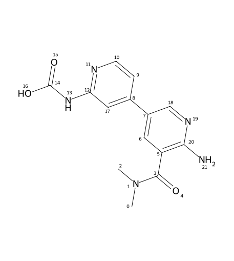 CN(C)C(=O)c1cc(-c2ccnc(NC(=O)O)c2)cnc1N